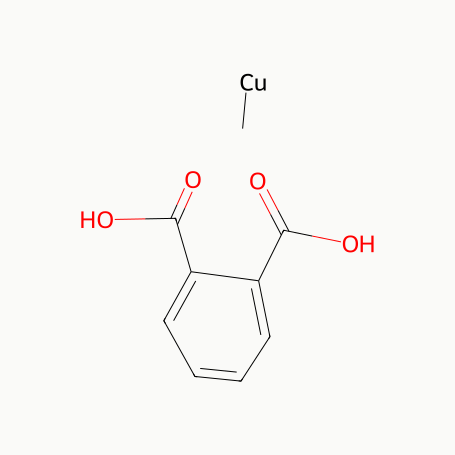 O=C(O)c1ccccc1C(=O)O.[CH3][Cu]